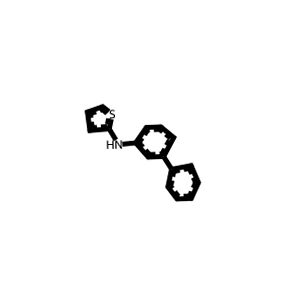 c1ccc(-c2cccc(Nc3cccs3)c2)cc1